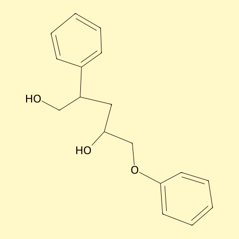 OCC(CC(O)COc1ccccc1)c1ccccc1